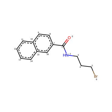 O=C(NCCCBr)c1ccc2ccccc2c1